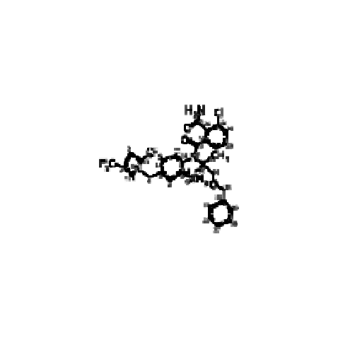 Cc1cc(Cn2nc(C(F)(F)F)cc2C(F)(F)F)ccc1N(C(=O)c1cccc(Cl)c1C(N)=O)C(C)(C)COCc1ccccc1